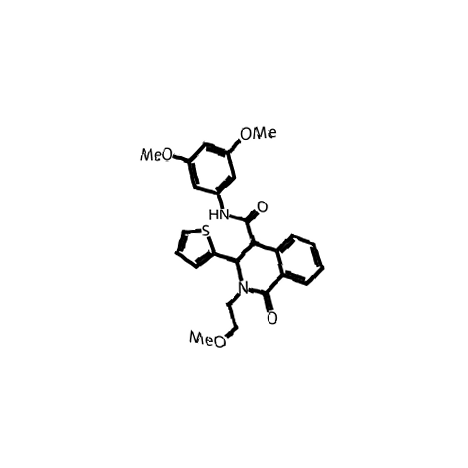 COCCN1C(=O)c2ccccc2C(C(=O)Nc2cc(OC)cc(OC)c2)C1c1cccs1